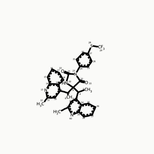 Cc1cc(C(C)C2(C(C)c3cc(C)nc4ccccc34)NC(=O)N(c3ccc(SC(F)(F)F)cc3)C2=O)c2ccccc2n1